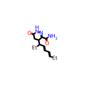 CCC=CC=CC(CC)C1CC(=O)NN=C1C(N)=O